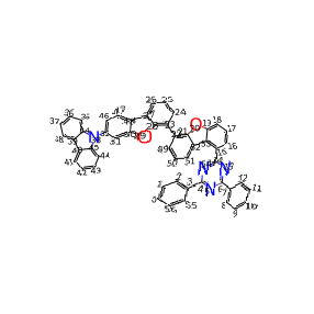 c1ccc(-c2nc(-c3ccccc3)nc(-c3cccc4oc5c(-c6cccc7c6oc6cc(-n8c9ccccc9c9ccccc98)ccc67)cccc5c34)n2)cc1